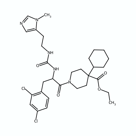 CCOC(=O)C1(C2CCCCC2)CCN(C(=O)C(Cc2ccc(Cl)cc2Cl)NC(=O)NCCc2cncn2C)CC1